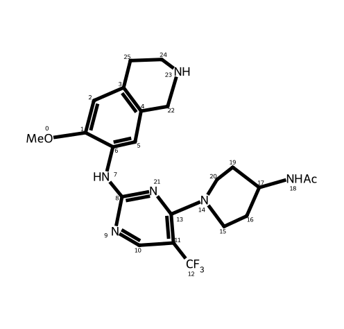 COc1cc2c(cc1Nc1ncc(C(F)(F)F)c(N3CCC(NC(C)=O)CC3)n1)CNCC2